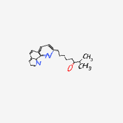 CC(C)C(=O)CCCCCc1ccc2ccc3cccnc3c2n1